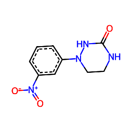 O=C1NCCN(c2cccc([N+](=O)[O-])c2)N1